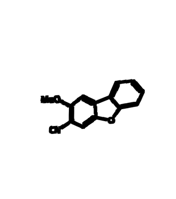 [C-]#[N+]c1cc2oc3ccccc3c2cc1OC